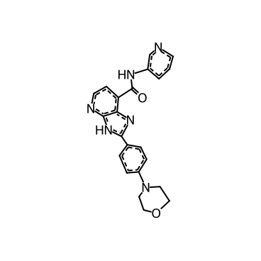 O=C(Nc1cccnc1)c1ccnc2[nH]c(-c3ccc(N4CCOCC4)cc3)nc12